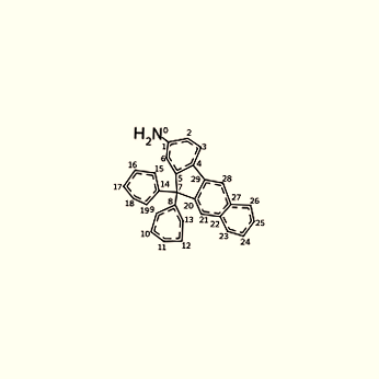 Nc1ccc2c(c1)C(c1ccccc1)(c1ccccc1)c1cc3ccccc3cc1-2